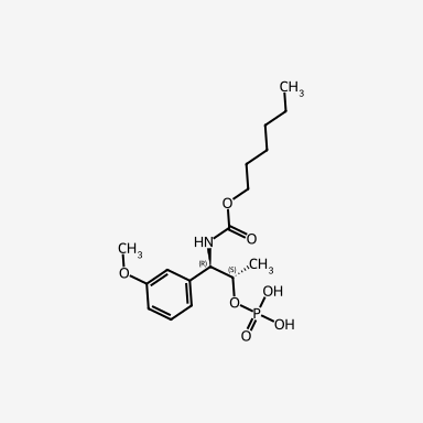 CCCCCCOC(=O)N[C@H](c1cccc(OC)c1)[C@H](C)OP(=O)(O)O